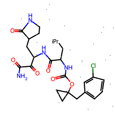 CC(C)CC(NC(=O)OC1(Cc2cccc(Cl)c2)CC1)C(=O)NC(CC1CCNC1=O)C(=O)C(N)=O